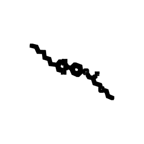 CCCCCCCc1cnc(-c2ccc(OCC(F)CCOCCC)cc2)nc1